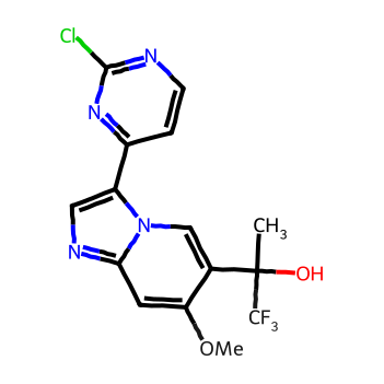 COc1cc2ncc(-c3ccnc(Cl)n3)n2cc1C(C)(O)C(F)(F)F